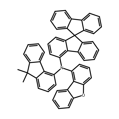 CC1(C)c2ccccc2-c2c(N(c3cccc4c3-c3ccccc3C43c4ccccc4-c4ccccc43)c3cccc4oc5ccccc5c34)cccc21